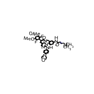 COc1cc(OC)c(F)c(-c2cc3cnc(Nc4ccc(N5CCOCC5)cc4)nc3n(Cc3cccc(NC(=O)/C=C/CN(C)C)c3)c2=O)c1F